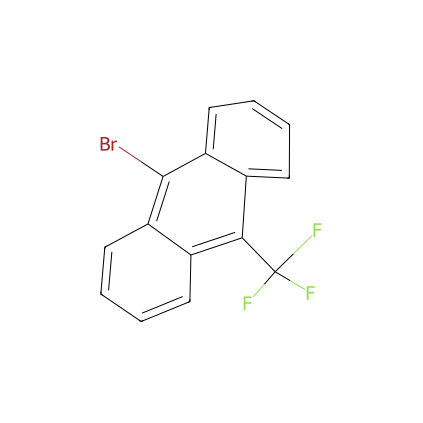 FC(F)(F)c1c2ccccc2c(Br)c2ccccc12